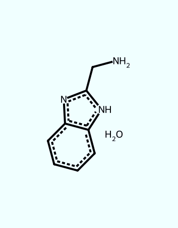 NCc1nc2ccccc2[nH]1.O